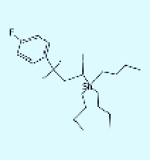 CCC[CH2][Sn]([CH2]CCC)([CH2]CCC)[CH](I)CC(C)(C)c1ccc(F)cc1